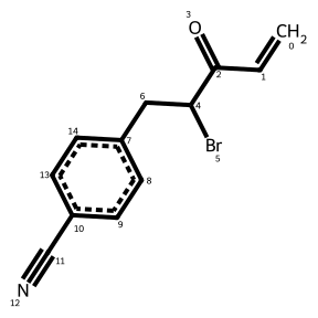 C=CC(=O)C(Br)Cc1ccc(C#N)cc1